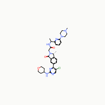 CC(NC(=O)CN1C(=O)c2cc(-c3nc(NC4CCOCC4)ncc3Cl)ccc2[C@H]1C)c1cccc(N2CCN(C)CC2)n1